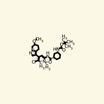 C=N/C(=C\C(=C(/C)Cl)c1cnn2c1CCC(OC)C2)NC(=O)[C@H]1CCC[C@@H](NC(=O)OC(C)(C)C)C1